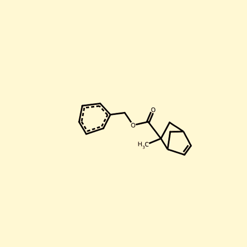 CC1(C(=O)OCc2ccccc2)CC2C=CC1C2